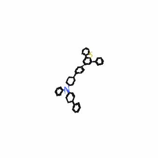 C1=CC(c2ccccc2)CC=C1N(c1ccccc1)C1C=CC(c2ccc(-c3cc(-c4ccccc4)c4sc5ccccc5c4c3)cc2)CC1